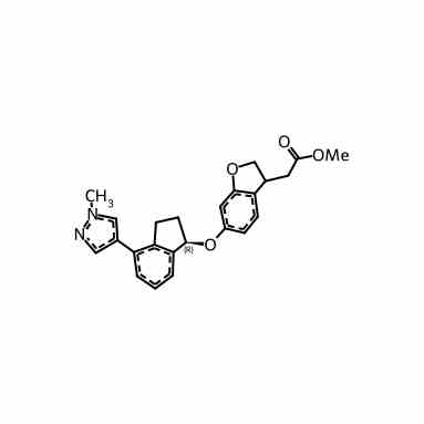 COC(=O)CC1COc2cc(O[C@@H]3CCc4c(-c5cnn(C)c5)cccc43)ccc21